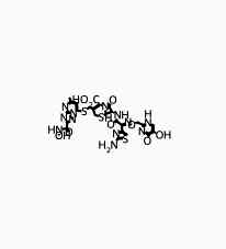 Cc1cc(SCC2=C(C(=O)O)N3C(=O)[C@@H](NC(=O)C(=NOCc4nc(=O)c(O)c[nH]4)c4csc(N)n4)[C@H]3SC2)n2nc(C(=O)NO)nc2n1